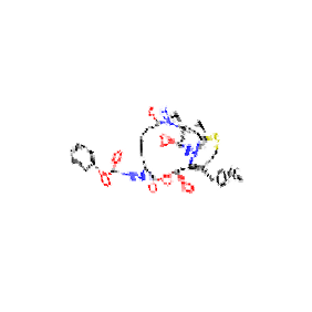 CC(=O)OCC1=C2C(=O)OC(=O)C(NC(=O)Oc3ccccc3)CCCC(=O)N[C@@H]3C(=O)N2[C@@H]3SC1